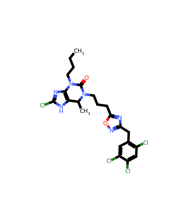 CCCCN1C(=O)N(CCCc2nc(Cc3cc(Cl)c(Cl)cc3Cl)no2)C(C)c2[nH]c(Cl)nc21